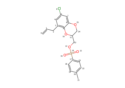 C=CCc1cc(Cl)cc2c1OC(COS(=O)(=O)c1ccc(C)cc1)CO2